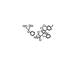 C[C@@H](c1ccccc1)C(c1nc(Cl)c(-c2ccc(I)cc2Cl)[nH]1)N1C(=O)N[C@H](c2ccc(OC(CO)CO)cc2)C1=O